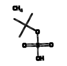 C.CC(C)(C)OS(=O)(=O)O